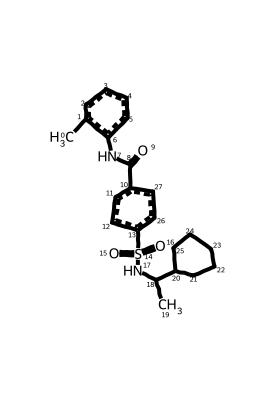 Cc1ccccc1NC(=O)c1ccc(S(=O)(=O)NC(C)C2CCCCC2)cc1